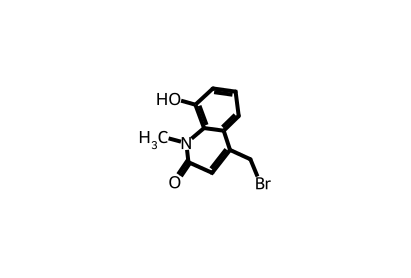 Cn1c(=O)cc(CBr)c2cccc(O)c21